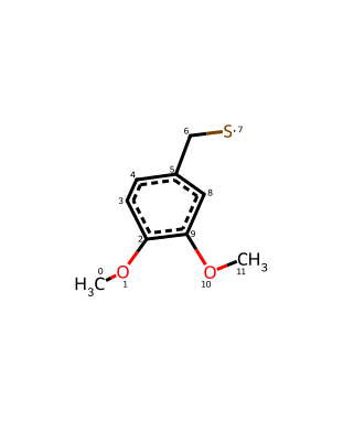 COc1ccc(C[S])cc1OC